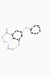 CC(C)(C)C1CCN2CCCc3cc(Cc4ccccc4)cc1c32